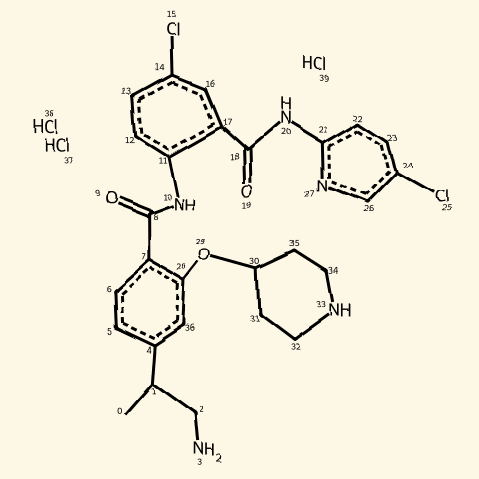 CC(CN)c1ccc(C(=O)Nc2ccc(Cl)cc2C(=O)Nc2ccc(Cl)cn2)c(OC2CCNCC2)c1.Cl.Cl.Cl